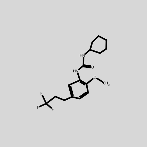 COc1ccc(CCC(F)(F)F)cc1NC(=O)NC1CCCCC1